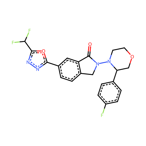 O=C1c2cc(-c3nnc(C(F)F)o3)ccc2CN1N1CCOCC1c1ccc(F)cc1